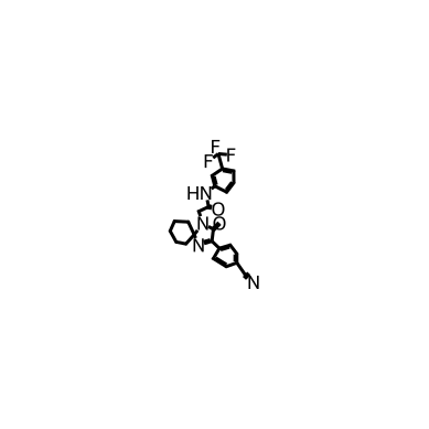 N#Cc1ccc(C2=NC3(CCCCC3)N(CC(=O)Nc3cccc(C(F)(F)F)c3)C2=O)cc1